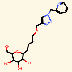 OCC1OC(CCCCOCc2cn(Cc3ccccn3)nn2)C(O)C(O)C1O